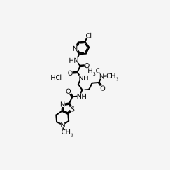 CN1CCc2nc(C(=O)N[C@H](CCC(=O)N(C)C)CNC(=O)C(=O)Nc3ccc(Cl)cn3)sc2C1.Cl